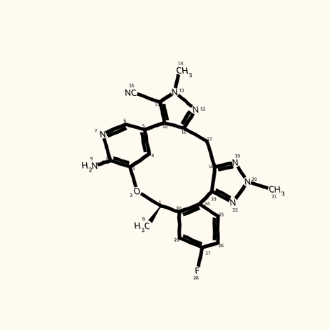 C[C@H]1Oc2cc(cnc2N)-c2c(nn(C)c2C#N)Cc2nn(C)nc2-c2ccc(F)cc21